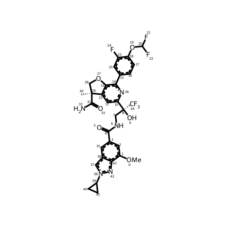 COc1cc(C(=O)NC[C@](O)(c2cc3c(c(-c4ccc(OC(F)F)c(F)c4)n2)OC[C@]3(C)C(N)=O)C(F)(F)F)cc2cn(C3CC3)nc12